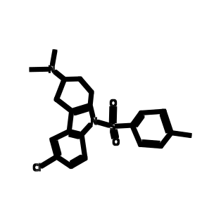 Cc1ccc(S(=O)(=O)n2c3c(c4cc(Cl)ccc42)CC(N(C)C)CC3)cc1